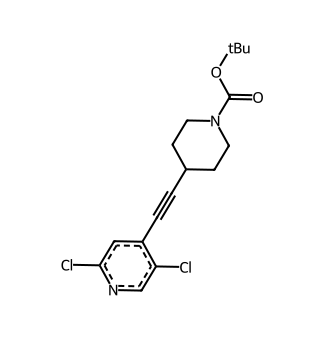 CC(C)(C)OC(=O)N1CCC(C#Cc2cc(Cl)ncc2Cl)CC1